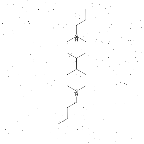 CCCCC[SiH]1CCC(C2CC[SiH](CCC)CC2)CC1